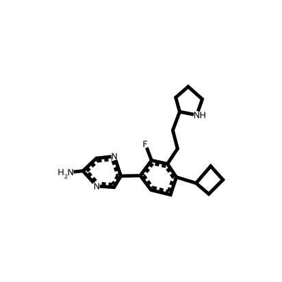 Nc1cnc(-c2ccc(C3CCC3)c(CCC3CCCN3)c2F)cn1